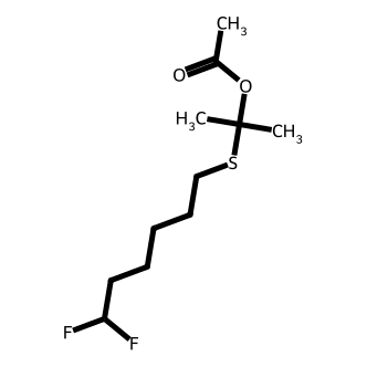 CC(=O)OC(C)(C)SCCCCCC(F)F